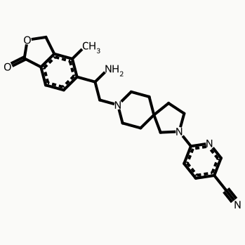 Cc1c(C(N)CN2CCC3(CC2)CCN(c2ccc(C#N)cn2)C3)ccc2c1COC2=O